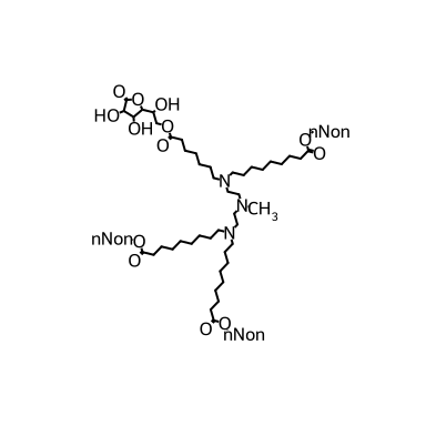 CCCCCCCCCOC(=O)CCCCCCCCN(CCCCCCCCC(=O)OCCCCCCCCC)CCN(C)CCN(CCCCCCCCC(=O)OCCCCCCCCC)CCCCCCC(=O)OCC(O)C1OC(=O)C(O)C1O